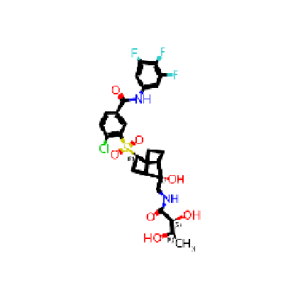 C[C@@H](O)[C@H](O)C(=O)NC[C@]1(O)C2CCC23C1C[C@H]3S(=O)(=O)c1cc(C(=O)Nc2cc(F)c(F)c(F)c2)ccc1Cl